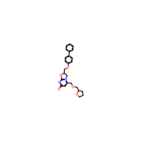 O=c1cc(COCC2CCCO2)n2c(n1)OC(COc1ccc(-c3ccccc3)cc1)C2